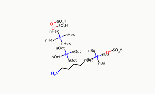 CCCCCCCCCCCCCCN.CCCCCCCC[N+](CCCCCCCC)(CCCCCCCC)CCCCCCCC.CCCCCC[N+](CCCCCC)(CCCCCC)CCCCCC.CCCC[N+](CCCC)(CCCC)CCCC.O=S(=O)([O-])O.O=S(=O)([O-])O.O=S(=O)([O-])O